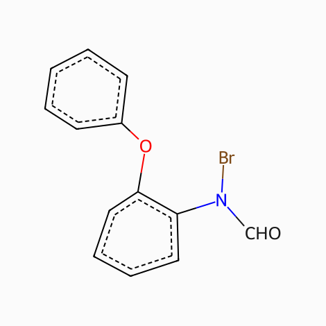 O=CN(Br)c1ccccc1Oc1ccccc1